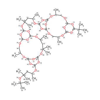 CC1COB2OB(OB(C(C)(C)C)O2)OC(C)COB2OB(OB(OC(C)CC(C)(C)OB3OB4OCC(C)OB5OB(OC(C)CC(C)(C)OC(C)(C)C)OB(O5)OC(C)(C)CC(C)OB(O4)O3)O2)O1